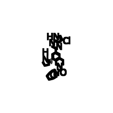 O=C(N1CCc2cc(-c3cnc4[nH]cc(Cl)c4n3)cc([C@@H]3CCCN3)c2C1)N1CC2CCC(C1)O2